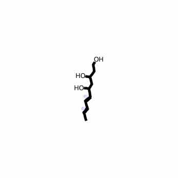 C/C=C/C=C/C(O)CC(O)CCO